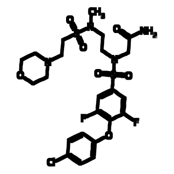 CN(CCN(CC(N)=O)S(=O)(=O)c1cc(F)c(Oc2ccc(Cl)cc2)c(F)c1)S(=O)(=O)CCN1CCOCC1